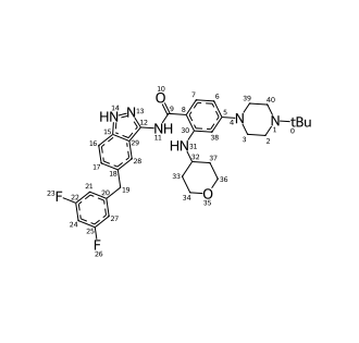 CC(C)(C)N1CCN(c2ccc(C(=O)Nc3n[nH]c4ccc(Cc5cc(F)cc(F)c5)cc34)c(NC3CCOCC3)c2)CC1